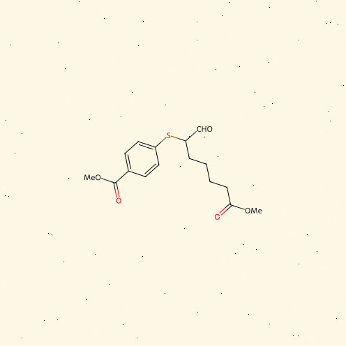 COC(=O)CCCCC(C=O)Sc1ccc(C(=O)OC)cc1